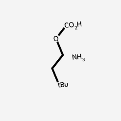 CC(C)(C)CCOC(=O)O.N